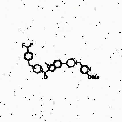 COc1ccc(CN2CCC(c3ccc4c(c3)cc(C(=O)N3CCN(Cc5ccc(C(F)F)cc5)CC3)n4C)CC2)cn1